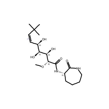 CO[C@@H](C(=O)N[C@H]1CCCCNC1=O)[C@H](O)[C@@H](O)[C@H](O)/C=C\C(C)(C)C